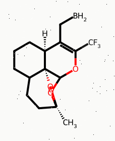 BCC1=C(C(F)(F)F)OC2O[C@]3(C)CCC4CCC[C@@H]1[C@]42OO3